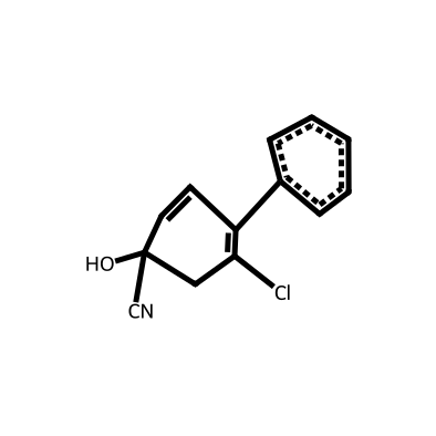 N#CC1(O)C=CC(c2ccccc2)=C(Cl)C1